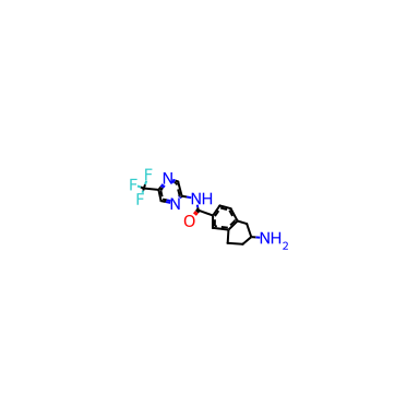 NC1CCc2cc(C(=O)Nc3cnc(C(F)(F)F)cn3)ccc2C1